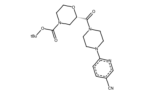 CC(C)(C)OC(=O)N1CCO[C@H](C(=O)N2CCN(c3ccc(C#N)cn3)CC2)C1